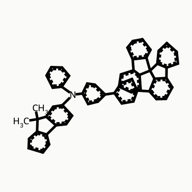 CC1(C)c2ccccc2-c2ccc(N(c3ccccc3)c3ccc(-c4ccc(-c5cccc6c5C5(c7ccccc7-c7ccccc75)c5ccccc5-6)cc4)cc3)cc21